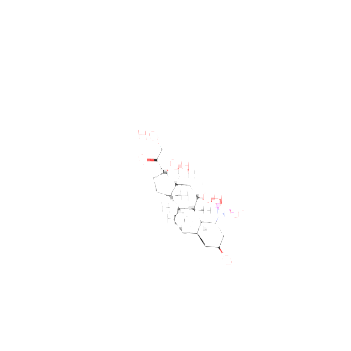 C[C@]12C[C@H](O)[C@H]3[C@@H](CCC4=CC(=O)CC([N+](=O)[O-])[C@@]43C)[C@@H]1CC[C@]2(O)C(=O)CO